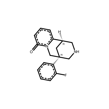 O=c1cccc2n1C[C@]1(c3ccccc3F)CNC[C@H]2C1